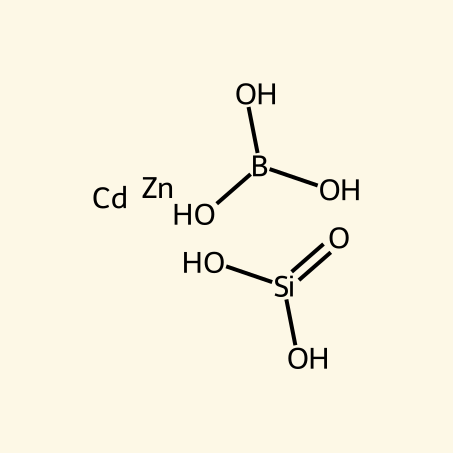 O=[Si](O)O.OB(O)O.[Cd].[Zn]